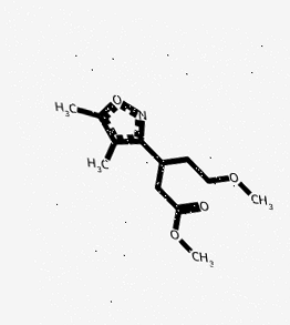 COCCC(CC(=O)OC)c1noc(C)c1C